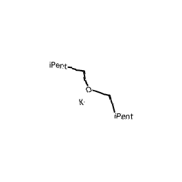 CCCC(C)COCC(C)CCC.[K]